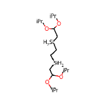 CC(C)OC(C[SiH2]CC[SiH2]CC(OC(C)C)OC(C)C)OC(C)C